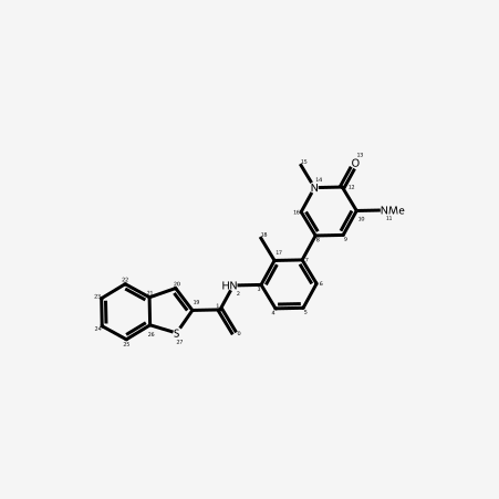 C=C(Nc1cccc(-c2cc(NC)c(=O)n(C)c2)c1C)c1cc2ccccc2s1